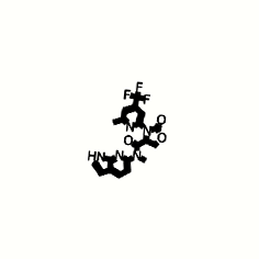 Cc1cc(C(F)(F)F)cc(N2C(=O)OCC2C(=O)N(C)c2ccc3cc[nH]c3n2)n1